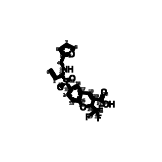 C=CC(NCc1ccco1)S(=O)(=O)c1ccc2c(c1)C=C(C(=O)O)C(C(F)(F)F)O2